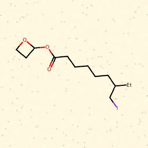 CCC(CI)CCCCCC(=O)OC1CCO1